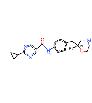 CC[C@@]1(Cc2ccc(NC(=O)c3cnc(C4CC4)nc3)cc2)CNCCO1